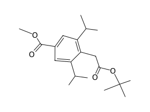 COC(=O)c1cc(C(C)C)c(CC(=O)OC(C)(C)C)c(C(C)C)c1